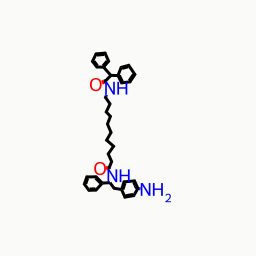 Nc1ccc(CC(NC(=O)CCCCCCCCCCNC(=O)C(c2ccccc2)c2ccccc2)c2ccccc2)cc1